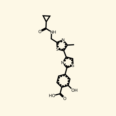 Cc1nc(CNC(=O)C2CC2)sc1-c1csc(-c2ccc(C(=O)O)c(O)c2)n1